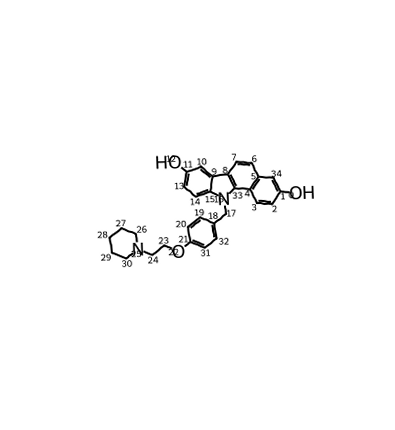 Oc1ccc2c(ccc3c4cc(O)ccc4n(Cc4ccc(OCCN5CCCCC5)cc4)c23)c1